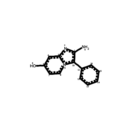 Nc1nc2cc(O)ccn2c1-c1ccccc1